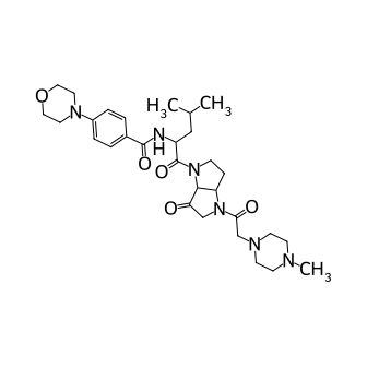 CC(C)CC(NC(=O)c1ccc(N2CCOCC2)cc1)C(=O)N1CCC2C1C(=O)CN2C(=O)CN1CCN(C)CC1